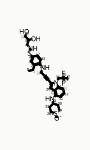 CCc1cc(SNCC(O)CO)ccc1NCC#Cc1cc2c(NC3CC[S+]([O-])CC3)cccc2n1CC(F)(F)F